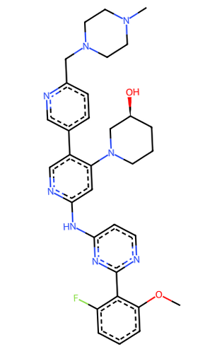 COc1cccc(F)c1-c1nccc(Nc2cc(N3CCC[C@H](O)C3)c(-c3ccc(CN4CCN(C)CC4)nc3)cn2)n1